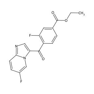 CCOC(=O)c1ccc(C(=O)c2cnc3ccc(F)cn23)c(F)c1